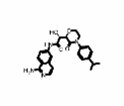 CC(C)c1ccc(N2CCO[C@H]([C@@H](O)C(=O)Nc3ccc4c(N)nccc4c3)C2=O)cc1